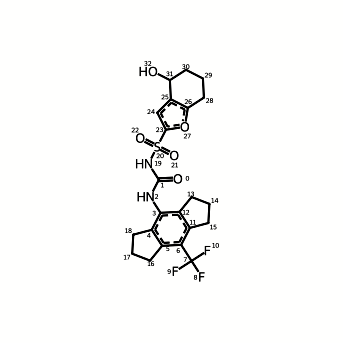 O=C(Nc1c2c(c(C(F)(F)F)c3c1CCC3)CCC2)NS(=O)(=O)c1cc2c(o1)CCCC2O